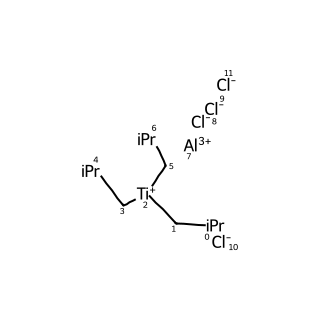 CC(C)[CH2][Ti+]([CH2]C(C)C)[CH2]C(C)C.[Al+3].[Cl-].[Cl-].[Cl-].[Cl-]